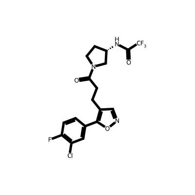 O=C(CCc1cnoc1-c1ccc(F)c(Cl)c1)N1CC[C@H](NC(=O)C(F)(F)F)C1